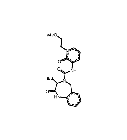 CCC(C)C1C(=O)Nc2ccccc2CN1C(=O)Nc1cccn(CCOC)c1=O